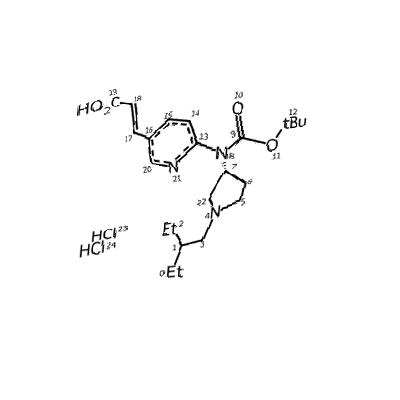 CCC(CC)CN1CC[C@@H](N(C(=O)OC(C)(C)C)c2ccc(C=CC(=O)O)cn2)C1.Cl.Cl